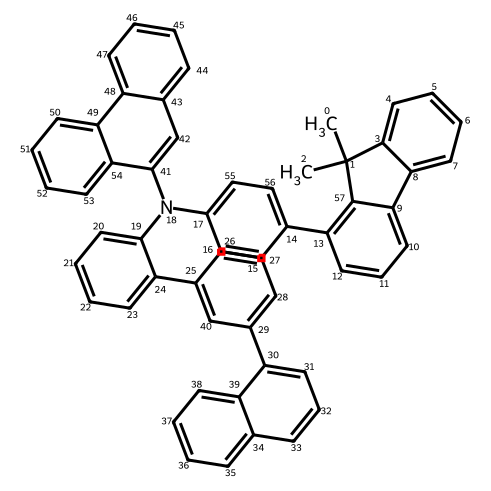 CC1(C)c2ccccc2-c2cccc(-c3ccc(N(c4ccccc4-c4cccc(-c5cccc6ccccc56)c4)c4cc5ccccc5c5ccccc45)cc3)c21